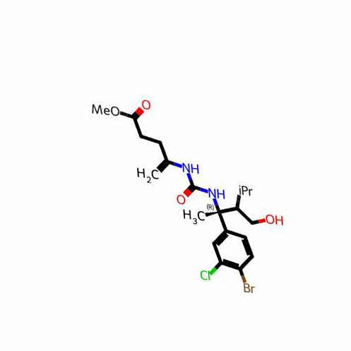 C=C(CCC(=O)OC)NC(=O)N[C@@](C)(c1ccc(Br)c(Cl)c1)C(CO)C(C)C